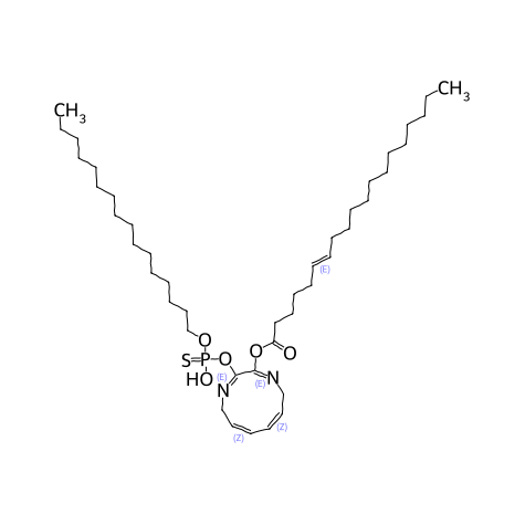 CCCCCCCCCCCC/C=C/CCCCC(=O)OC1=N/C/C=C\C=C/C/N=C\1OP(O)(=S)OCCCCCCCCCCCCCCCC